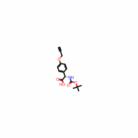 C#CCOc1ccc([C@H](NC(=O)OC(C)(C)C)C(=O)O)cc1